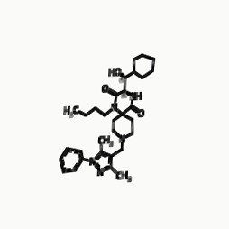 CCCCN1C(=O)[C@@H]([C@@H](O)C2CCCCC2)NC(=O)C12CCN(Cc1c(C)nn(-c3ccccc3)c1C)CC2